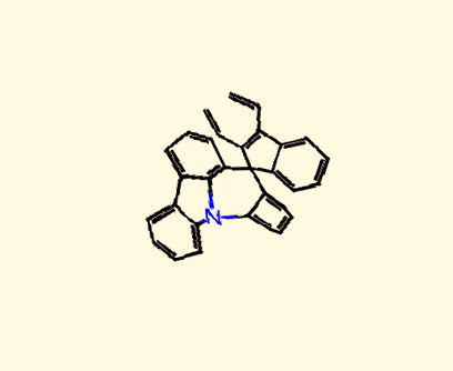 C=CC1=C(C=C)C2(c3ccccc31)c1ccccc1-n1c3ccccc3c3cccc2c31